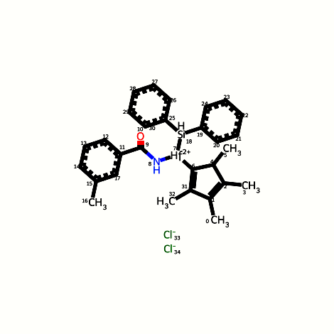 CC1=C(C)C(C)[C]([Hf+2]([NH]C(=O)c2cccc(C)c2)[SiH](c2ccccc2)c2ccccc2)=C1C.[Cl-].[Cl-]